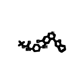 CC(C)(C)OC(=O)N[C@H]1CC[C@H](Nc2cc3c(-c4cc5ccccc5o4)cncc3cc2Cl)CC1